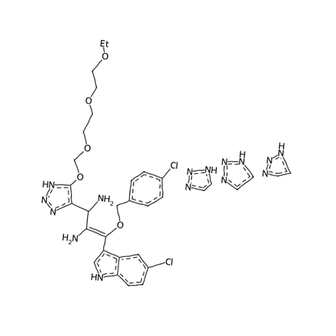 CCOCCOCCOCOc1[nH]nnc1C(N)C(N)=C(OCc1ccc(Cl)cc1)c1c[nH]c2ccc(Cl)cc12.c1c[nH]nn1.c1c[nH]nn1.c1c[nH]nn1